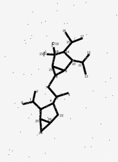 CC(C)C1C(C(C)CC2C3C(C(C)C)C(C(C)C)C(F)(F)C23)CC2CC21